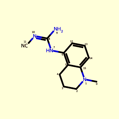 CN1CCCc2c(N/C(N)=N\C#N)cccc21